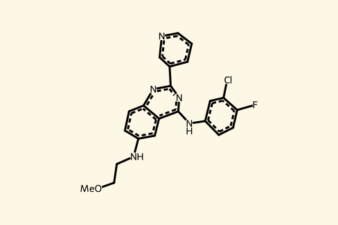 COCCNc1ccc2nc(-c3cccnc3)nc(Nc3ccc(F)c(Cl)c3)c2c1